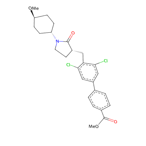 COC(=O)c1ccc(-c2cc(Cl)c(C[C@@H]3CCN([C@H]4CC[C@H](OC)CC4)C3=O)c(Cl)c2)cc1